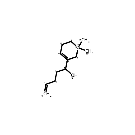 C=CCCC(O)C1=CCC[Si](C)(C)C1